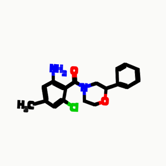 Cc1cc(N)c(C(=O)N2CCOC(c3ccccc3)C2)c(Cl)c1